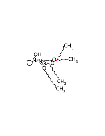 CCCCCCCCCCCCOCC(CN(CCCCCC(=O)OCC(CCCCCC)CCCCCCCC)CCN(CCO)C1CCCCCC1)OCCCCCCCCCCCC